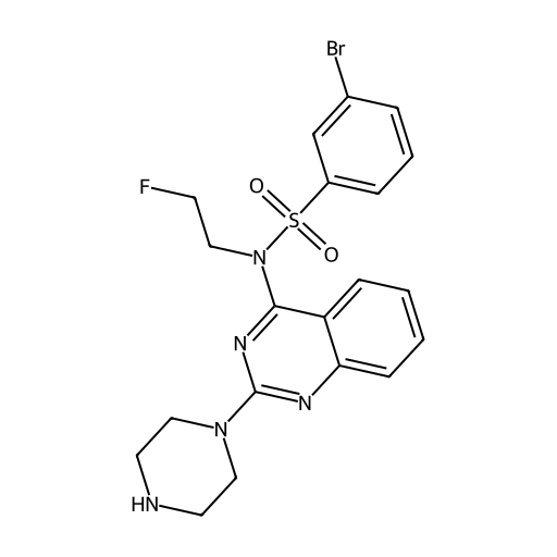 O=S(=O)(c1cccc(Br)c1)N(CCF)c1nc(N2CCNCC2)nc2ccccc12